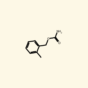 Cc1ccccc1COC(N)=O